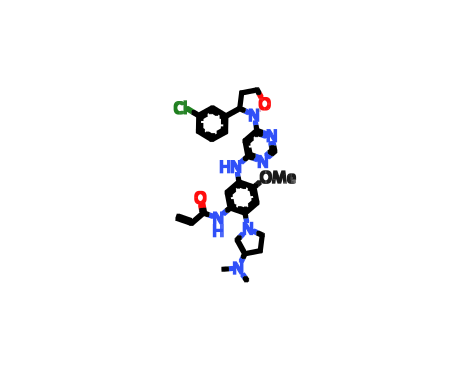 C=CC(=O)Nc1cc(Nc2cc(N3OCCC3c3cccc(Cl)c3)ncn2)c(OC)cc1N1CCC(N(C)C)C1